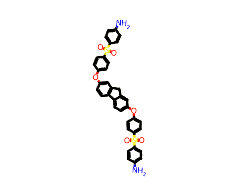 Nc1ccc(S(=O)(=O)c2ccc(Oc3ccc4c(c3)Cc3cc(Oc5ccc(S(=O)(=O)c6ccc(N)cc6)cc5)ccc3-4)cc2)cc1